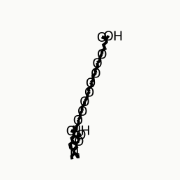 CCN(CC)c1ccc2cc(C(=O)NCCOCCOCCOCCOCCOCCOCCOCCOCCCCC(=O)O)c(=O)oc2c1